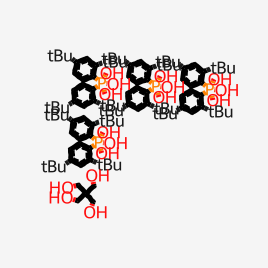 CC(C)(C)c1ccc(P(O)(O)(O)c2ccc(C(C)(C)C)cc2C(C)(C)C)c(C(C)(C)C)c1.CC(C)(C)c1ccc(P(O)(O)(O)c2ccc(C(C)(C)C)cc2C(C)(C)C)c(C(C)(C)C)c1.CC(C)(C)c1ccc(P(O)(O)(O)c2ccc(C(C)(C)C)cc2C(C)(C)C)c(C(C)(C)C)c1.CC(C)(C)c1ccc(P(O)(O)(O)c2ccc(C(C)(C)C)cc2C(C)(C)C)c(C(C)(C)C)c1.OCC(CO)(CO)CO